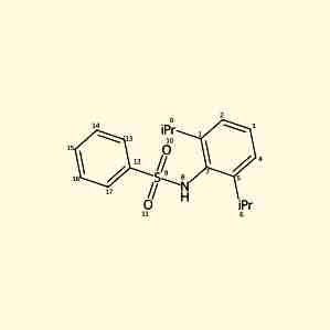 CC(C)c1cccc(C(C)C)c1NS(=O)(=O)c1[c]cccc1